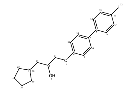 OC(COc1ccc(-c2ccc(I)cc2)cc1)CN1CCCC1